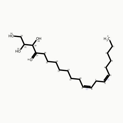 CCCCC/C=C\C/C=C\CCCCCCCC(=O)C(O)C(O)CO